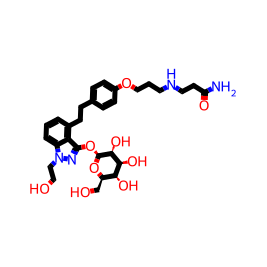 NC(=O)CCNCCCOc1ccc(CCc2cccc3c2c(O[C@@H]2O[C@H](CO)[C@@H](O)[C@H](O)[C@H]2O)nn3CCO)cc1